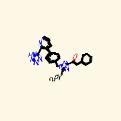 CCCc1nc(C(=O)CC2CCCCC2)nn1Cc1ccc(-c2cccnc2-c2nnn[nH]2)cc1